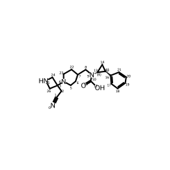 N#CCC1(N2CCC(CN(C(=O)O)[C@@H]3C[C@H]3c3ccccc3)CC2)CNC1